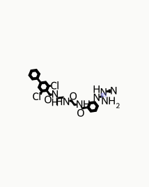 N#C/N=C(\N)Nc1cccc(C(=O)NCC(=O)NCCNC(=O)c2c(Cl)cc(-c3ccccc3)cc2Cl)c1